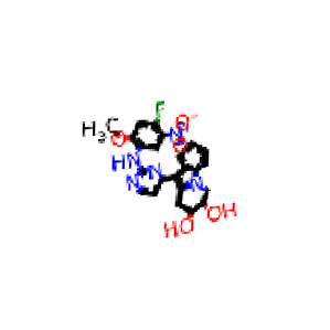 COc1cc(F)c([N+](=O)[O-])cc1Nc1nccc(-c2c3n(c4ccccc24)CC(O)C(O)C3)n1